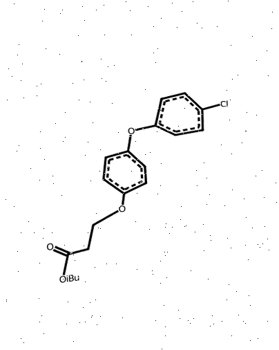 CC(C)COC(=O)CCOc1ccc(Oc2ccc(Cl)cc2)cc1